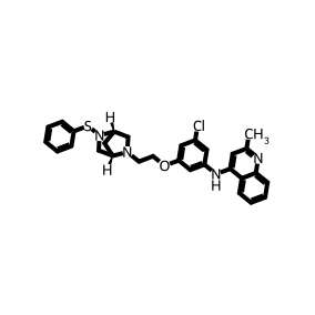 Cc1cc(Nc2cc(Cl)cc(OCCN3C[C@@H]4C[C@H]3CN4Sc3ccccc3)c2)c2ccccc2n1